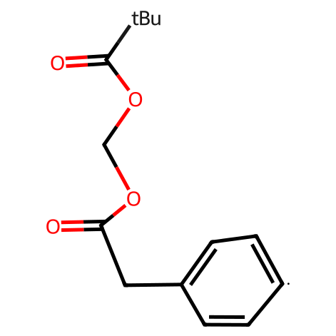 CC(C)(C)C(=O)OCOC(=O)Cc1cc[c]cc1